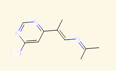 CC(C)=N/C=C(\C)c1cc(N)ncn1